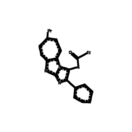 CCC(=O)Sc1c(-c2ccccc2)nc2nc3ccc(C(C)C)ccc3n12